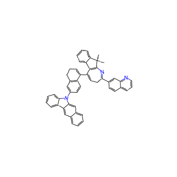 CC1(C)C2=C(C(C3=CCCc4cc(-n5c6ccccc6c6cc7ccccc7cc65)ccc43)=CCC(c3ccc4cccnc4c3)=N2)c2ccccc21